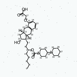 CCCCC[C@@H](CC[C@@H]1[C@H]2Cc3cccc(OCC(=O)O)c3C[C@H]2C[C@H]1O)OC(=O)N1CCC(N2CCCCC2)CC1